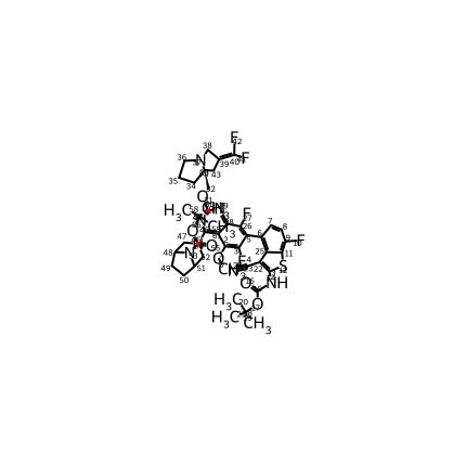 COc1c(F)c(-c2ccc(F)c3sc(NC(=O)OC(C)(C)C)c(C#N)c23)c(F)c2nc(OC[C@@]34CCCN3CC(=C(F)F)C4)nc(N3CC4CCC(C3)N4C(=O)OC(C)(C)C)c12